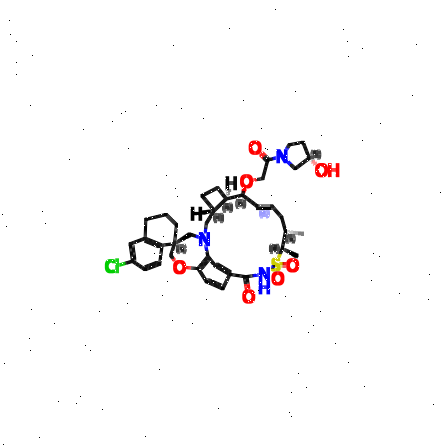 C[C@@H]1[C@@H](C)C/C=C/[C@H](OCC(=O)N2CC[C@H](O)C2)[C@@H]2CC[C@H]2CN2C[C@@]3(CCCc4cc(Cl)ccc43)COc3ccc(cc32)C(=O)NS1(=O)=O